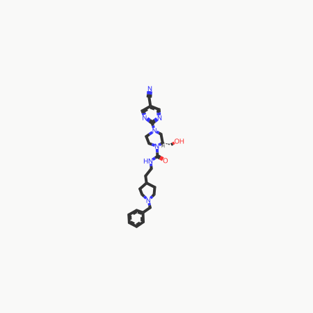 N#Cc1cnc(N2CCN(C(=O)NCCC3CCN(Cc4ccccc4)CC3)[C@@H](CO)C2)nc1